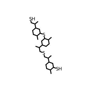 CC1CCC(C(C)CSCC(C)C2CCC(C)C(SC3CC(C(C)CS)CCC3C)C2)CC1S